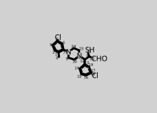 Cc1ccc(Cl)cc1N1CCN(C(c2cccc(Cl)c2)C(S)C=O)CC1